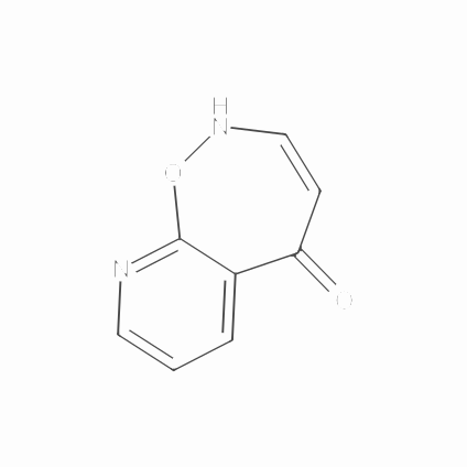 O=C1C=CNOc2ncccc21